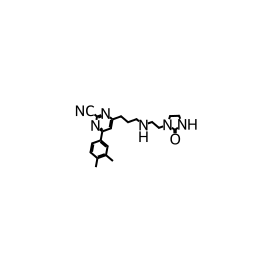 Cc1ccc(-c2cc(CCCNCCN3CCNC3=O)nc(C#N)n2)cc1C